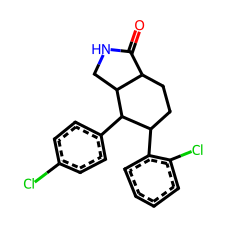 O=C1NCC2C1CCC(c1ccccc1Cl)C2c1ccc(Cl)cc1